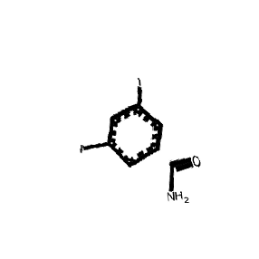 Ic1cccc(I)c1.NC=O